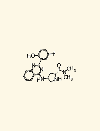 CN(C)C(=O)[C@H]1C[C@H](Nc2nc(-c3cc(F)ccc3O)nc3ccccc23)CN1